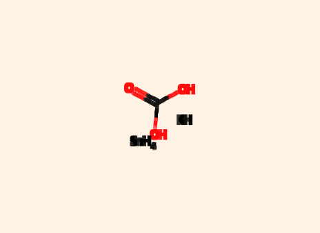 O=C(O)O.[KH].[SnH4]